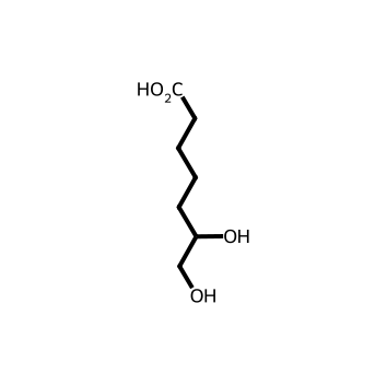 O=C(O)CCCCC(O)CO